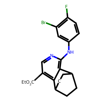 CCOC(=O)c1cnc(Nc2ccc(F)c(Br)c2)c2c1C1CCC2CC1